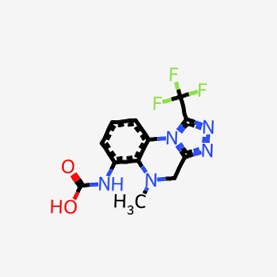 CN1Cc2nnc(C(F)(F)F)n2-c2cccc(NC(=O)O)c21